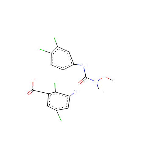 CON(C)C(=O)Nc1ccc(Cl)c(Cl)c1.Nc1cc(Cl)cc(C(=O)O)c1Cl